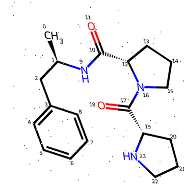 C[C@H](Cc1ccccc1)NC(=O)[C@@H]1CCCN1C(=O)[C@@H]1CCCN1